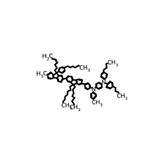 C=C/C=C\CCCC1(c2ccc(CCCCCC)cc2)c2cc(C)ccc2-c2ccc(-c3ccc4c(c3)C(CCCCCCCC)(CCCCCCCC)c3cc(-c5ccc(N(c6ccc(C)cc6)c6ccc(N(c7ccc(CCCC)cc7)c7ccc(CCCC)cc7)cc6)cc5)ccc3-4)cc21